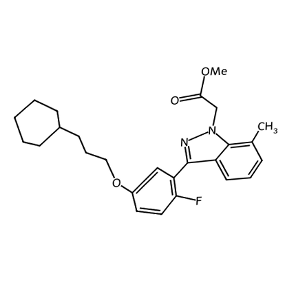 COC(=O)Cn1nc(-c2cc(OCCCC3CCCCC3)ccc2F)c2cccc(C)c21